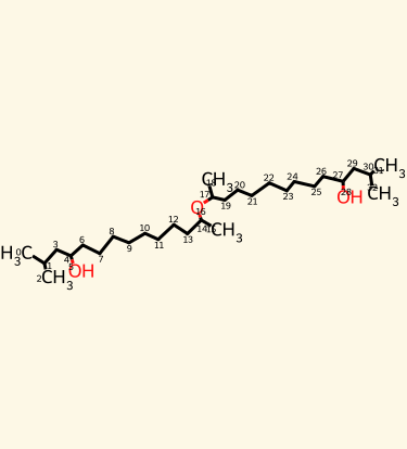 CC(C)CC(O)CCCCCCCCC(C)OC(C)CCCCCCCCC(O)CC(C)C